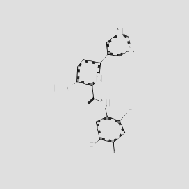 Cc1ccc(-c2cncnc2)nc1C(=O)Nc1cc(F)c(F)cc1F